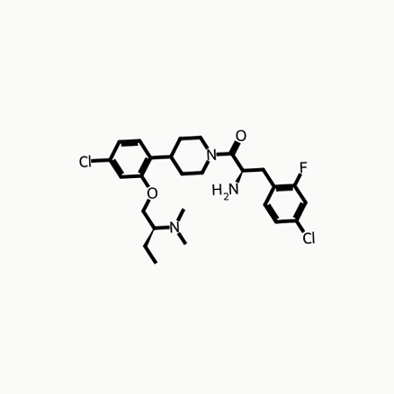 CC[C@@H](COc1cc(Cl)ccc1C1CCN(C(=O)[C@H](N)Cc2ccc(Cl)cc2F)CC1)N(C)C